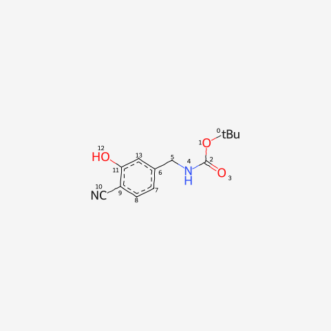 CC(C)(C)OC(=O)NCc1ccc(C#N)c(O)c1